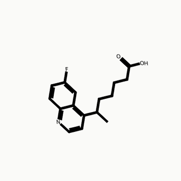 CC(CCCCC(=O)O)c1ccnc2ccc(F)cc12